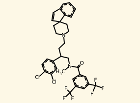 CN(CC(CCN1CCC2(C=Cc3ccccc32)CC1)c1ccc(Cl)c(Cl)c1)C(=O)c1cc(C(F)(F)F)cc(C(F)(F)F)c1